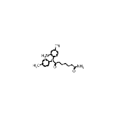 Cc1ccc(N(C(=O)CCCCCC(N)=O)c2ccc(C#N)cc2N)cc1